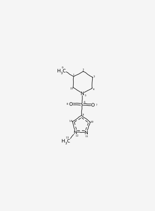 CC1CCCN(S(=O)(=O)c2cnn(C)c2)C1